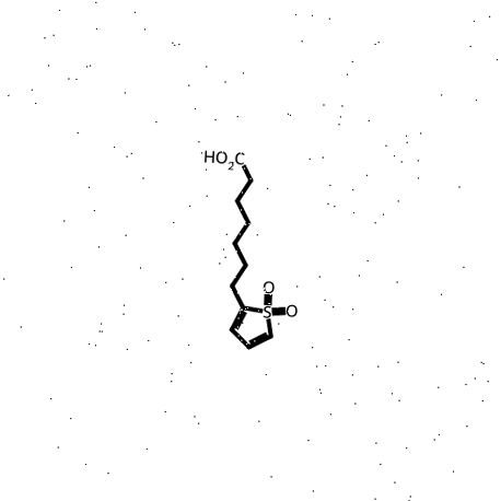 O=C(O)CCCCCCC1=CC=CS1(=O)=O